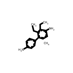 C.CCc1c(N)ccc(-c2ccc(N)cc2)c1CC